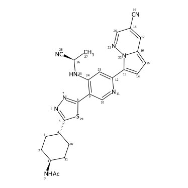 CC(=O)N[C@H]1CC[C@H](c2nnc(-c3cnc(-c4ccc5cc(C#N)cnn45)cc3N[C@H](C)C#N)s2)CC1